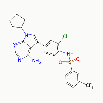 Nc1ncnc2c1c(-c1ccc(NS(=O)(=O)c3cccc(C(F)(F)F)c3)c(Cl)c1)cn2C1CCCC1